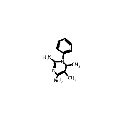 CC1=C(N)N=C(N)N(c2ccccc2)C1C